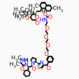 CN[C@@H](C)C(=O)N[C@H](C(=O)N1CCC[C@H]1c1nc(C(=O)c2cccc(OCCOCCOCCOCCNC(=O)O[C@H]3C[C@@H](C)C=C4C=C[C@H](C)C(CC[C@@H]5C[C@@H](O[Si](C)(C)C(C)(C)C)CC(=O)O5)[C@H]43)c2)cs1)C1CCCCC1